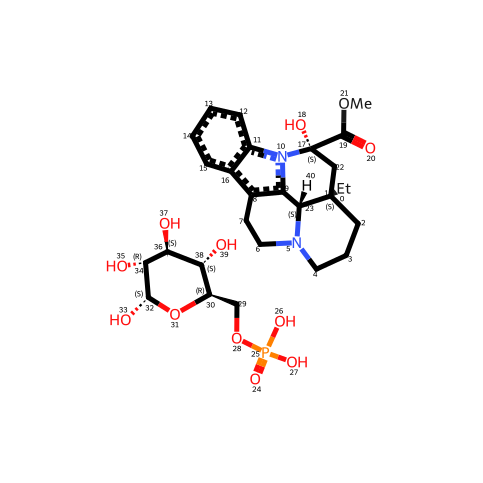 CC[C@]12CCCN3CCc4c(n(c5ccccc45)[C@@](O)(C(=O)OC)C1)[C@@H]32.O=P(O)(O)OC[C@H]1O[C@H](O)[C@H](O)[C@@H](O)[C@@H]1O